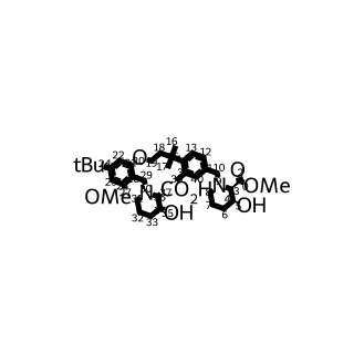 COC(=O)[C@H]1[C@H](O)CCCN1Cc1ccc(C(C)(C)CCOc2cc(C(C)(C)C)cc(OC)c2CN2CCCC(O)C2C(=O)O)c(C)c1